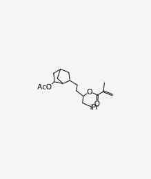 C=C(C)C(=O)OC(CCC1CC2CC(OC(C)=O)C1C2)CC(C)C